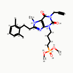 C#CCn1c(=O)c2c(nc(CCc3c(C)cccc3C)n2CC)n(CCCCP(=O)(OCC)OCC)c1=O